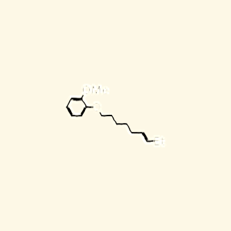 CCC=CCCCCCOc1ccccc1OC